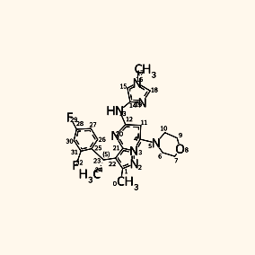 Cc1nn2c(N3CCOCC3)cc(Nc3cn(C)cn3)nc2c1[C@H](C)c1ccc(F)cc1F